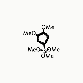 COc1ccc([Si](OC)(OC)OC)cc1OC